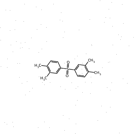 Cc1ccc(S(=O)(=O)c2ccc(C)c(C)c2)cc1C